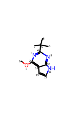 COc1nc(C(C)(C)C)nc2[nH]ccc12